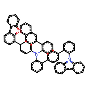 C1=CC(c2cccc3c2oc2ccccc23)CC=C1N(c1ccccc1-c1ccc(-c2ccccc2-n2c3ccccc3c3ccccc32)cc1)c1ccccc1-c1ccc2ccccc2c1